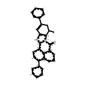 CC1CC(c2ccccc2)=Cc2nc3c4ccc(-c5ccccc5)c5cccc(c(=O)n3c21)c54